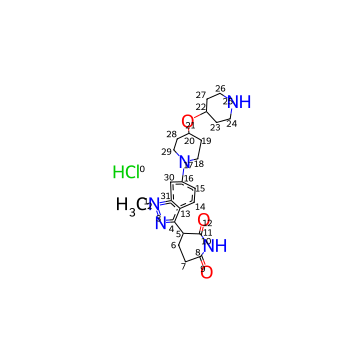 Cl.Cn1nc(C2CCC(=O)NC2=O)c2ccc(N3CCC(OC4CCNCC4)CC3)cc21